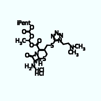 CCCC(C)OC(=O)OC(C)OC(=O)C1=C(CSc2nnnn2CCN(C)C)CS[C@H]2[C@H](N)C(=O)N12.Cl.Cl